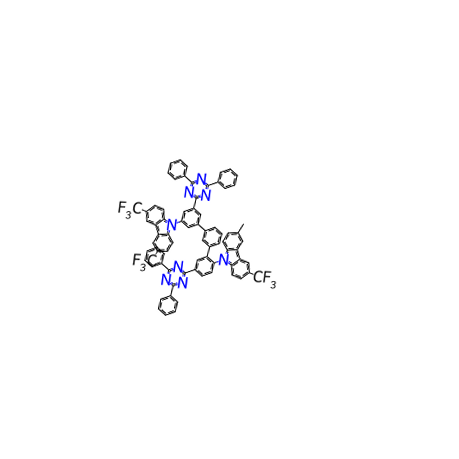 Cc1ccc2c(c1)c1cc(C(F)(F)F)ccc1n2-c1ccc(-c2nc(-c3ccccc3)nc(-c3ccccc3)n2)cc1-c1cccc(-c2cc(-c3nc(-c4ccccc4)nc(-c4ccccc4)n3)cc(-n3c4ccc(C(F)(F)F)cc4c4cc(C(F)(F)F)ccc43)c2)c1